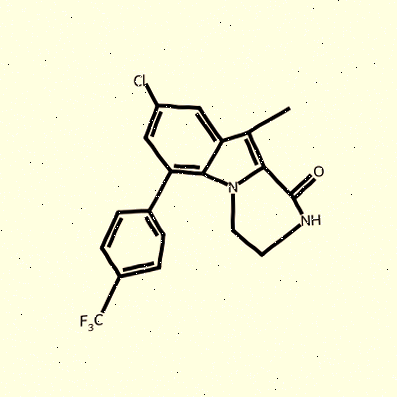 Cc1c2n(c3c(-c4ccc(C(F)(F)F)cc4)cc(Cl)cc13)CCNC2=O